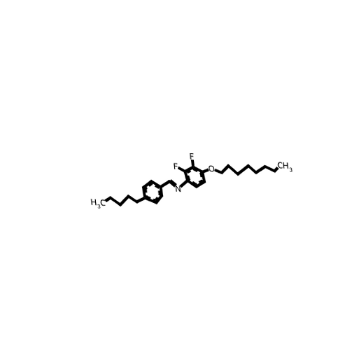 CCCCCCCCOc1ccc(N=Cc2ccc(CCCCC)cc2)c(F)c1F